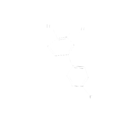 O=C(O)c1cc(-c2ccc(F)cc2)ccc1S